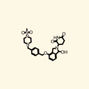 CS(=O)(=O)N1CCN(Cc2ccc(COc3cccc4c3CN(C3CCC(=O)NC3=O)C4O)cc2)CC1